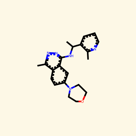 Cc1ncccc1C(C)Nc1nnc(C)c2ccc(N3CCOCC3)cc12